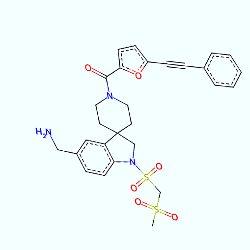 CS(=O)(=O)CS(=O)(=O)N1CC2(CCN(C(=O)c3ccc(C#Cc4ccccc4)o3)CC2)c2cc(CN)ccc21